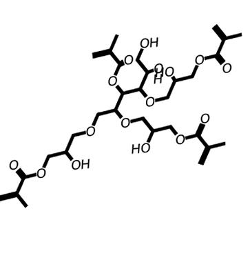 C=C(C)C(=O)OCC(O)COCC(OCC(O)COC(=O)C(=C)C)C(OC(=O)C(=C)C)C(OCC(O)COC(=O)C(=C)C)C(O)CO